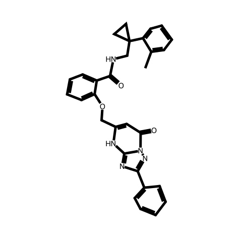 Cc1ccccc1C1(CNC(=O)c2ccccc2OCc2cc(=O)n3nc(-c4ccccc4)nc3[nH]2)CC1